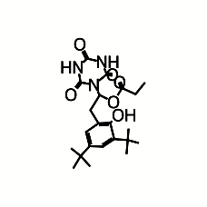 CCC(=O)OC(Cc1cc(C(C)(C)C)cc(C(C)(C)C)c1O)n1c(=O)[nH]c(=O)[nH]c1=O